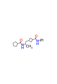 CC(C)NC(=O)C1CC(CC(C)NC(=O)C2CCCC2)C1